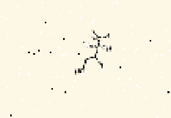 [2H][13C]([2H])(C(I)CO)[13CH](C)I